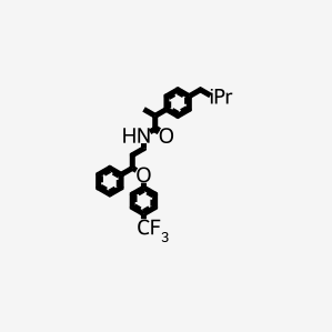 CC(C)Cc1ccc(C(C)C(=O)NCCC(Oc2ccc(C(F)(F)F)cc2)c2ccccc2)cc1